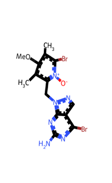 COc1c(C)c(Br)[n+]([O-])c(Cn2ncc3c(Br)nc(N)nc32)c1C